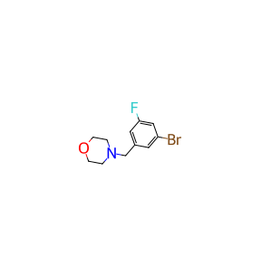 Fc1cc(Br)cc(CN2CCOCC2)c1